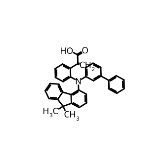 C=C(C(=O)O)c1ccccc1N(c1cccc(-c2ccccc2)c1)c1cccc2c1-c1ccccc1C2(C)C